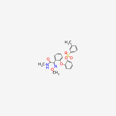 CNC(=O)C(=NOC)c1ccccc1Oc1ccccc1OS(=O)(=O)c1cccc(C)c1